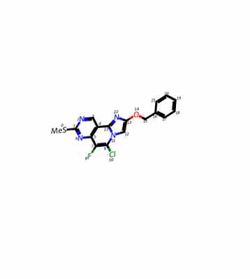 CSc1ncc2c(n1)c(F)c(Cl)n1cc(OCc3ccccc3)nc21